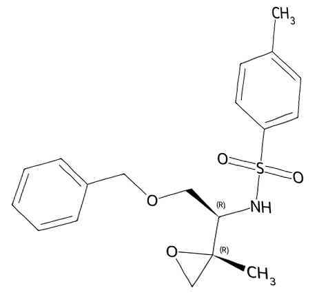 Cc1ccc(S(=O)(=O)N[C@H](COCc2ccccc2)[C@]2(C)CO2)cc1